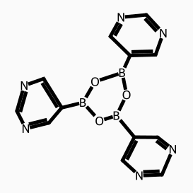 c1ncc(B2OB(c3cncnc3)OB(c3cncnc3)O2)cn1